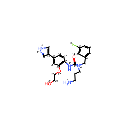 NCCCN(Cc1cccc(F)c1)C(=O)Nc1ccc(-c2cn[nH]c2)cc1OCCO